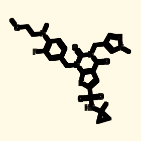 COCCN(C)c1ccc(Cn2c(=O)n(Cc3cnn(C)c3)c(=O)c3cc(S(=O)(=O)NC4(C)CC4)sc32)cc1F